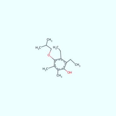 CCc1c(O)c(C)c(C)c(OCC(C)C)c1CC